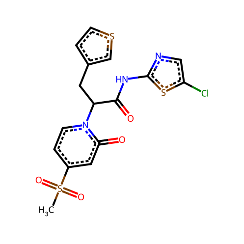 CS(=O)(=O)c1ccn(C(Cc2ccsc2)C(=O)Nc2ncc(Cl)s2)c(=O)c1